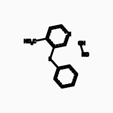 O=C(O)c1ccncc1Sc1ccccc1.O=NO